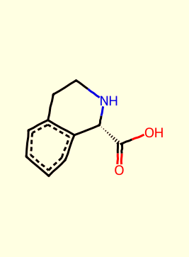 O=C(O)[C@H]1NCCc2ccccc21